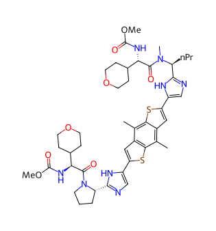 CCC[C@@H](c1ncc(-c2cc3c(C)c4sc(-c5cnc([C@@H]6CCCN6C(=O)[C@@H](NC(=O)OC)C6CCOCC6)[nH]5)cc4c(C)c3s2)[nH]1)N(C)C(=O)[C@@H](NC(=O)OC)C1CCOCC1